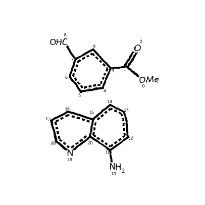 COC(=O)c1cccc(C=O)c1.Nc1cccc2cccnc12